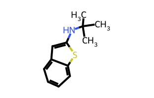 CC(C)(C)Nc1cc2ccccc2s1